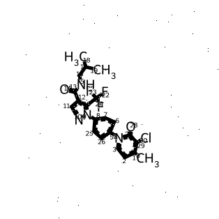 Cc1ccn(-c2ccc(-n3ncc(C(=O)NCC(C)C)c3C(F)(F)F)cc2)c(=O)c1Cl